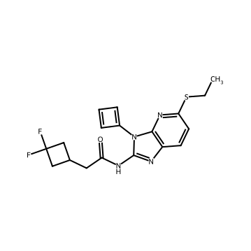 CCSc1ccc2nc(NC(=O)CC3CC(F)(F)C3)n(C3=CC=C3)c2n1